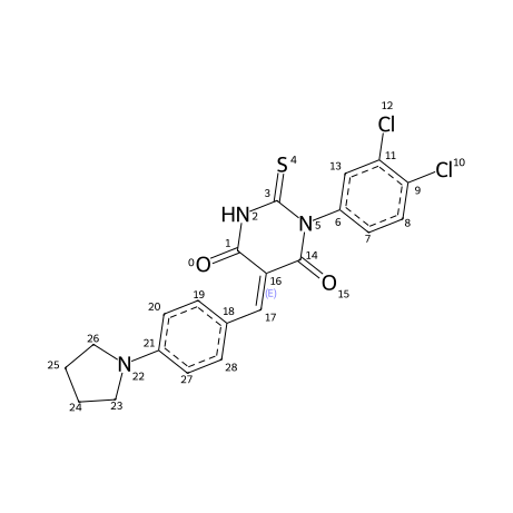 O=C1NC(=S)N(c2ccc(Cl)c(Cl)c2)C(=O)/C1=C/c1ccc(N2CCCC2)cc1